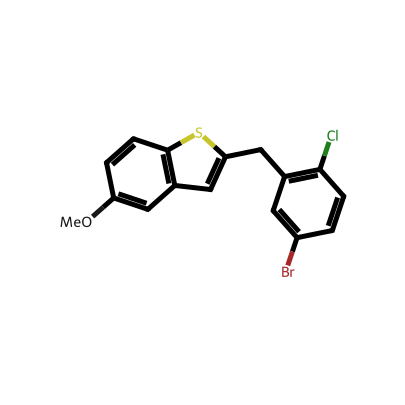 COc1ccc2sc(Cc3cc(Br)ccc3Cl)cc2c1